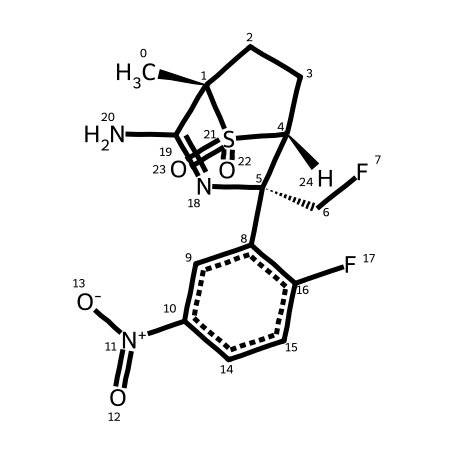 C[C@]12CC[C@H]([C@@](CF)(c3cc([N+](=O)[O-])ccc3F)N=C1N)S2(=O)=O